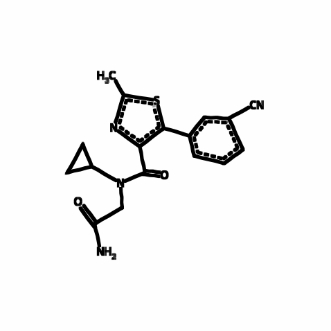 Cc1nc(C(=O)N(CC(N)=O)C2CC2)c(-c2cccc(C#N)c2)s1